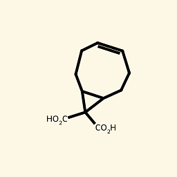 O=C(O)C1(C(=O)O)C2CCC=CCCC21